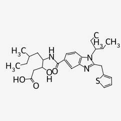 CCC(C)CC(NC(=O)c1ccc2c(c1)nc(Cc1cccs1)n2C(CC)CC)C(O)CC(=O)O